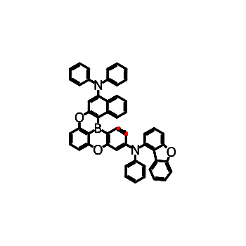 c1ccc(N(c2ccccc2)c2cc3c(c4ccccc24)B2c4c(cccc4Oc4cc(N(c5ccccc5)c5cccc6oc7ccccc7c56)c5ccccc5c42)O3)cc1